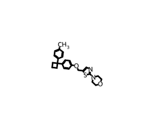 Cc1ccc(C2(c3ccc(OCc4cnc(N5CCOCC5)s4)cc3)CCC2)cc1